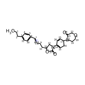 CCCc1ccc(/C=N/CC[C@H]2CN(C3=CCC(N4CCOCC4=O)C=C3)C(=O)O2)cc1